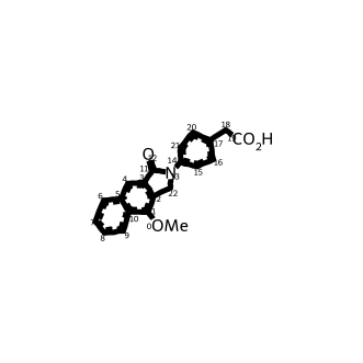 COc1c2c(cc3ccccc13)C(=O)N(c1ccc(CC(=O)O)cc1)C2